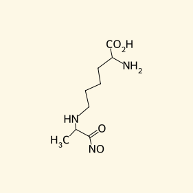 CC(NCCCCC(N)C(=O)O)C(=O)N=O